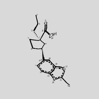 CCC[C@@]1(C(=O)O)CC[C@H](c2ccc3nc(C)sc3c2)C1